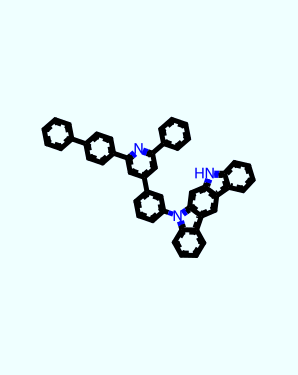 c1ccc(-c2ccc(-c3cc(-c4cccc(-n5c6ccccc6c6cc7c(cc65)[nH]c5ccccc57)c4)cc(-c4ccccc4)n3)cc2)cc1